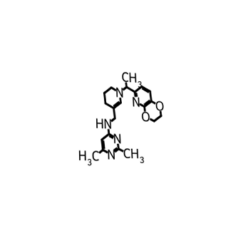 Cc1cc(NCC2=CN(C(C)c3ccc4c(n3)OCCO4)CCC2)nc(C)n1